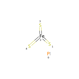 [P].[S]=[Fe](=[S])=[S]